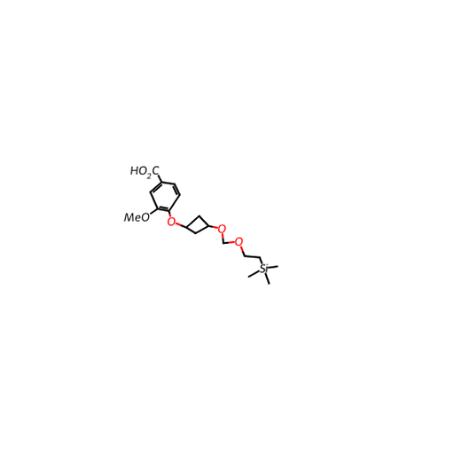 COc1cc(C(=O)O)ccc1OC1CC(OCOCC[Si](C)(C)C)C1